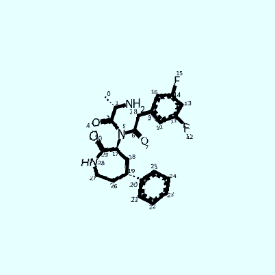 C[C@H](N)C(=O)N(C(=O)Cc1cc(F)cc(F)c1)[C@H]1C[C@H](c2ccccc2)CCNC1=O